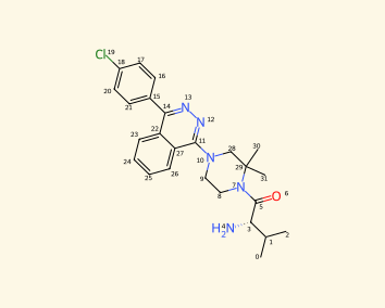 CC(C)[C@H](N)C(=O)N1CCN(c2nnc(-c3ccc(Cl)cc3)c3ccccc23)CC1(C)C